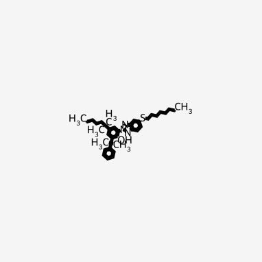 CCCCCCCCSc1ccc2nn(-c3cc(C(C)(C)CCCCC)cc(C(C)(C)c4ccccc4)c3O)nc2c1